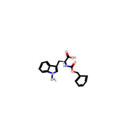 Cn1cc(C[C@H](NC(=O)OCc2ccccc2)C(=O)O)c2ccccc21